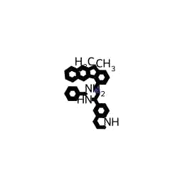 CC1(C)c2cc3ccccc3cc2-c2c(/C=C/C(NC(N)c3ccccc3)c3ccc4c(c3)C=CCN4)cccc21